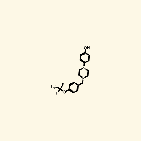 Oc1ccc(N2CCN(Cc3ccc(OC(F)(F)C(F)(F)F)cc3)CC2)cc1